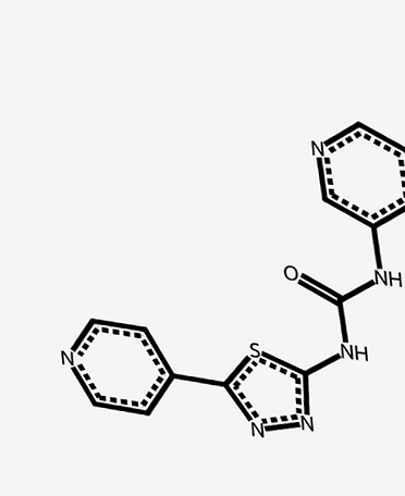 O=C(Nc1cccnc1)Nc1nnc(-c2ccncc2)s1